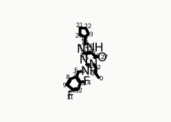 CCCn1c(NCc2ccc(F)cc2F)nc2nc(C3CCCC3)[nH]c2c1=O